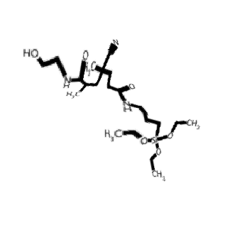 CCO[Si](CCCNC(=O)CCC(C)(C#N)CC(C)C(=O)NCCO)(OCC)OCC